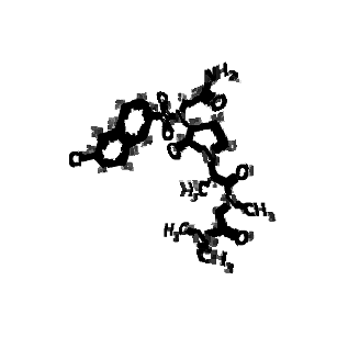 C[C@@H](C(=O)N(C)CC(=O)N(C)C)N1CC[C@H](N(CC(N)=O)S(=O)(=O)c2ccc3cc(Cl)ccc3c2)C1=O